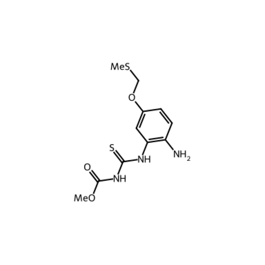 COC(=O)NC(=S)Nc1cc(OCSC)ccc1N